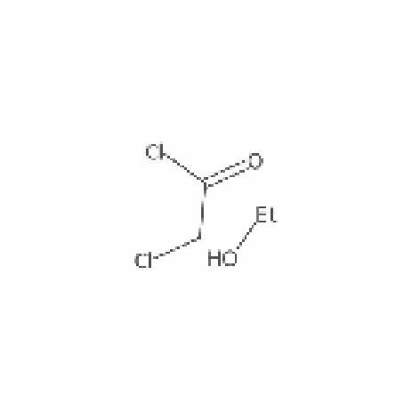 CCO.O=C(Cl)CCl